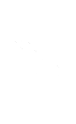 O=S(=O)(Nc1ncns1)N1CCc2c(cccc2-c2ccc(C(F)(F)F)cc2-c2cccnc2)C1